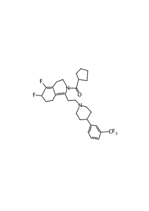 O=C(C1CCCC1)N1CCC2=C(F)C(F)CCC2=C1CCN1CCC(c2cccc(C(F)(F)F)c2)CC1